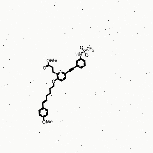 COC(=O)CCc1nc(C#Cc2cccc(NS(=O)(=O)C(F)(F)F)c2)ccc1OCCCC/C=C/c1ccc(OC)cc1